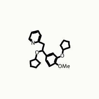 COc1ccc(C(Cc2ccccn2)OC2CCCC2)cc1OC1CCCC1